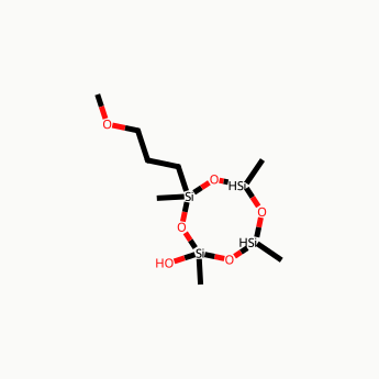 COCCC[Si]1(C)O[SiH](C)O[SiH](C)O[Si](C)(O)O1